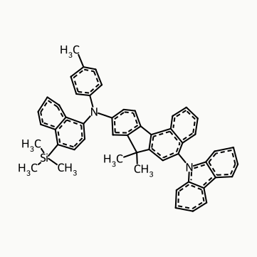 Cc1ccc(N(c2ccc3c(c2)C(C)(C)c2cc(-n4c5ccccc5c5ccccc54)c4ccccc4c2-3)c2ccc([Si](C)(C)C)c3ccccc23)cc1